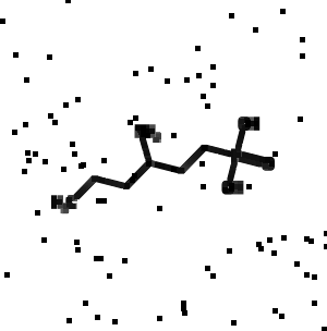 CCCC(N)CCP(=O)(O)O